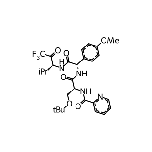 COc1ccc([C@H](NC(=O)[C@H](COC(C)(C)C)NC(=O)c2ccccn2)C(=O)N[C@H](C(=O)C(F)(F)F)C(C)C)cc1